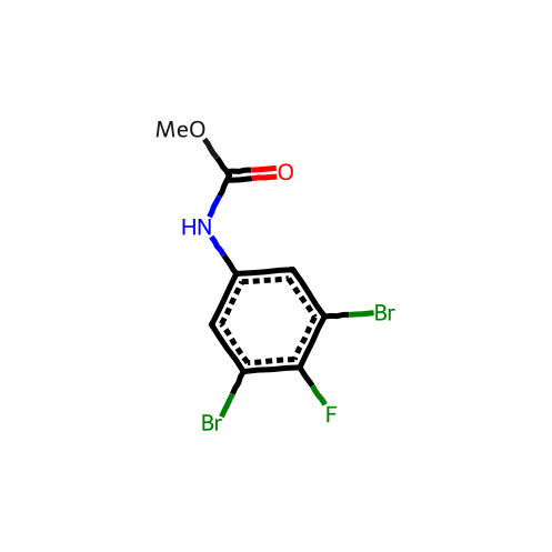 COC(=O)Nc1cc(Br)c(F)c(Br)c1